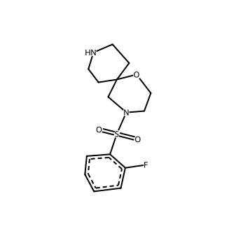 O=S(=O)(c1ccccc1F)N1CCOC2(CCNCC2)C1